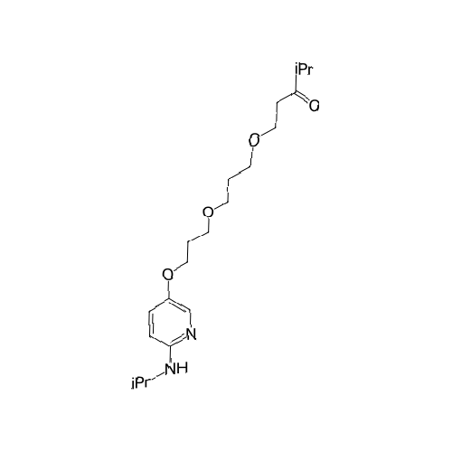 CC(C)Nc1ccc(OCCCOCCCOCCC(=O)C(C)C)cn1